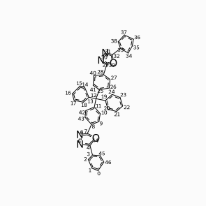 c1ccc(-c2nnc(-c3ccc(C(c4ccccc4)(c4ccccc4)c4ccc(-c5nnc(-c6ccccc6)o5)cc4)cc3)o2)cc1